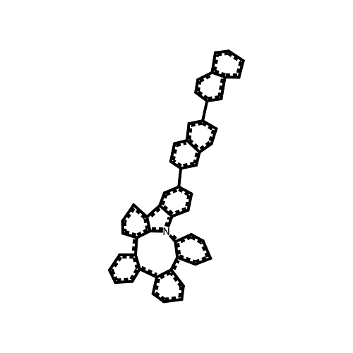 c1ccc2cc(-c3ccc4cc(-c5ccc6c(c5)c5cccc7c8ccccc8c8ccccc8c8ccccc8n6c75)ccc4c3)ccc2c1